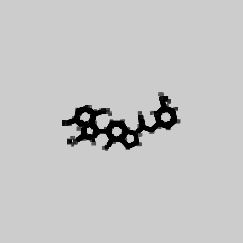 CCc1cnc(N)c2c(-c3ccc4c(c3F)CCN4C(=O)Cc3cccc(C)n3)nc(C)n12